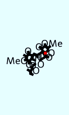 C/C=C(/C)C(=O)OC[C@H]1C2=C(C=C3C4C5=C(C(=O)C(C)=C(OC)C5=O)C(=O)C(C(=O)N31)N4C)C(=O)C(C)=C(OC)C2=O